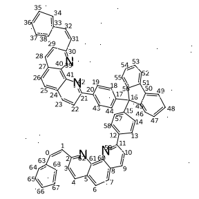 C(=C/c1ccc2ccc3ccc(-c4ccc(C5(c6ccc(-c7ccc8ccc9ccc(/C=C\c%10ccccc%10)nc9c8n7)cc6)c6ccccc6-c6ccccc65)cc4)nc3c2n1)/c1ccccc1